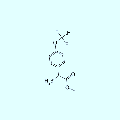 BC(C(=O)OC)c1ccc(OC(F)(F)F)cc1